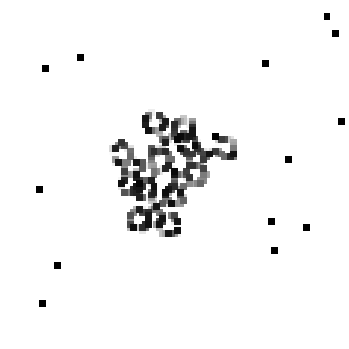 c1ccc(-n2c3ccccc3c3c2ccc2c4ccc(C(c5ccccc5)(c5ccccc5)c5ccccc5)cc4n(-c4nc(-n5c6ccccc6c6ccccc65)nc(-n5c6ccccc6c6ccccc65)n4)c23)cc1